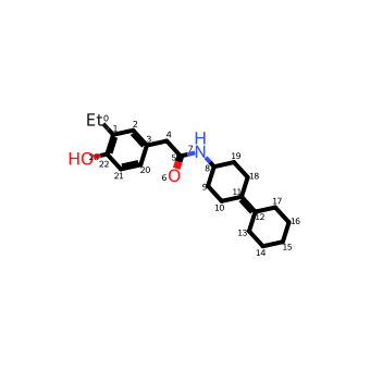 CCc1cc(CC(=O)NC2CCC(=C3CCCCC3)CC2)ccc1O